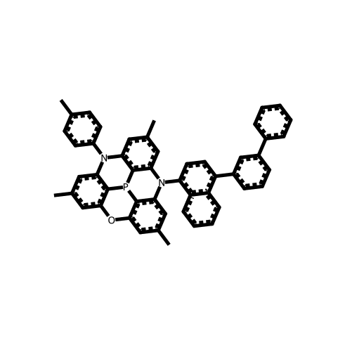 Cc1ccc(N2c3cc(C)cc4c3P3c5c(cc(C)cc5N(c5ccc(-c6cccc(-c7ccccc7)c6)c6ccccc56)c5cc(C)cc2c53)O4)cc1